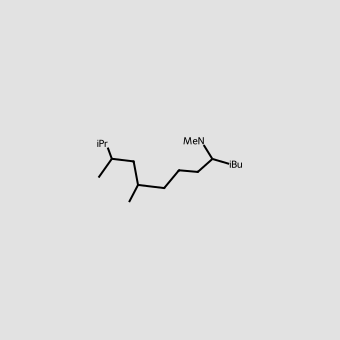 CCC(C)C(CCCC(C)CC(C)C(C)C)NC